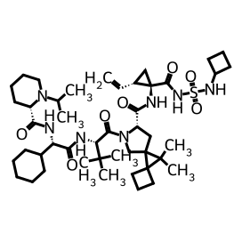 C=C[C@@H]1C[C@]1(NC(=O)[C@@H]1CC2(CN1C(=O)[C@@H](NC(=O)[C@@H](NC(=O)[C@@H]1CCCCN1C(C)C)C1CCCCC1)C(C)(C)C)C(C)(C)C21CCC1)C(=O)NS(=O)(=O)NC1CCC1